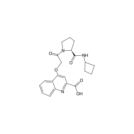 O=C(O)c1cc(OCC(=O)N2CCC[C@H]2C(=O)NC2CCC2)c2ccccc2n1